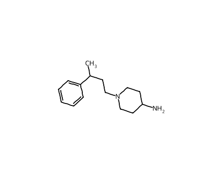 CC(CCN1CCC(N)CC1)c1ccccc1